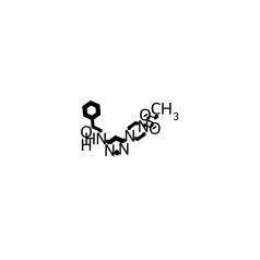 CCS(=O)(=O)N1CCN(c2cc(NCC(O)c3ccccc3)ncn2)CC1